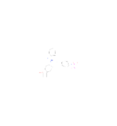 COc1ccc(CC(C#N)(Cc2ccccc2)c2ccc([N+](=O)[O-])cc2)cc1